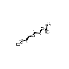 CCOCCOCCOC(=O)C(C)C